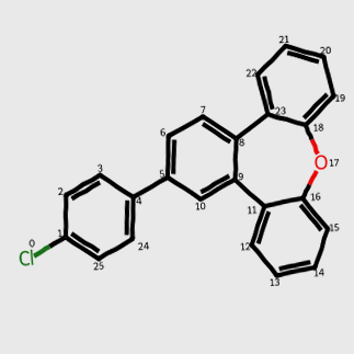 Clc1ccc(-c2ccc3c(c2)-c2ccccc2Oc2ccccc2-3)cc1